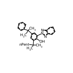 CCCCCC(C)(C)c1cc(C(C)(C)c2ccccc2)cc(-n2nc3ccccc3n2)c1O